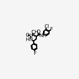 CN1C(C(=O)Nc2ccc(F)c(Cl)c2)CC(c2ccc(F)cc2)N[S+]1[O-]